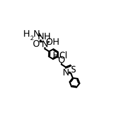 Cl.NNC(=O)N(O)Cc1ccc(OCc2csc(-c3ccccc3)n2)cc1